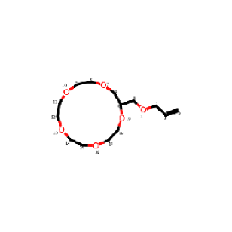 C=CCOCC1COCCOCCOCCOCCO1